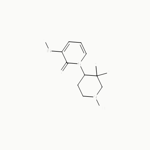 CC(C)Nc1cccn(C2CCN(C)CC2(F)F)c1=O